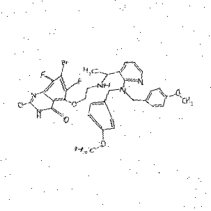 COc1ccc(CN(Cc2ccc(OC)cc2)c2ncccc2C(C)NCCOc2c(F)c(Br)c(F)c3nc(Cl)[nH]c(=O)c23)cc1